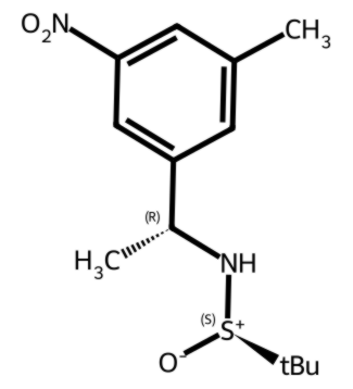 Cc1cc([C@@H](C)N[S@+]([O-])C(C)(C)C)cc([N+](=O)[O-])c1